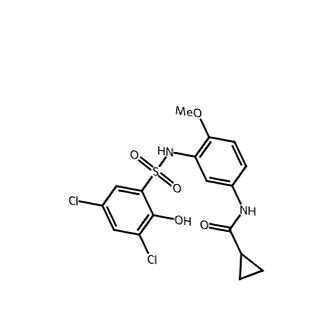 COc1ccc(NC(=O)C2CC2)cc1NS(=O)(=O)c1cc(Cl)cc(Cl)c1O